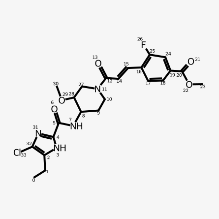 CCc1[nH]c(C(=O)NC2CCN(C(=O)/C=C/c3ccc(C(=O)OC)cc3F)CC2OC)nc1Cl